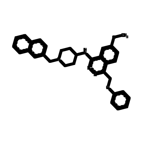 COc1ccc2c(COc3ccccc3)nnc(NC3CCN(Cc4ccc5ccccc5c4)CC3)c2c1